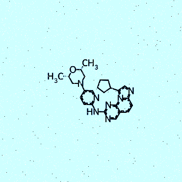 C[C@@H]1CN(c2ccc(Nc3ncc4ccc5ncc(C6CCCC6)n5c4n3)nc2)C[C@H](C)O1